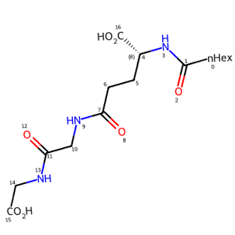 CCCCCCC(=O)N[C@H](CCC(=O)NCC(=O)NCC(=O)O)C(=O)O